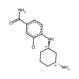 NC(=O)c1ccc(N[C@@H]2CCC[C@@H](N)C2)c(Cl)c1